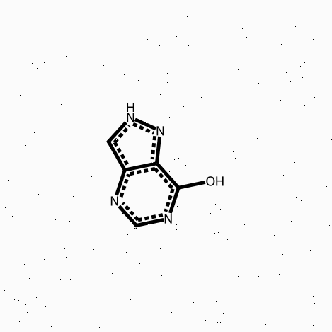 Oc1n[c]nc2c[nH]nc12